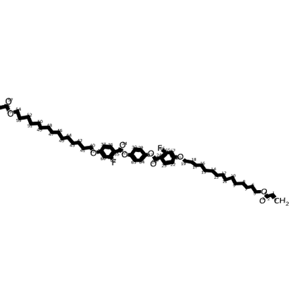 C=CC(=O)OCCCCCCCCCCCCCCCOc1ccc(C(=O)Oc2ccc(OC(=O)c3ccc(OCCCCCCCCCCCCCCCOC(=O)C=C)cc3F)cc2)c(F)c1